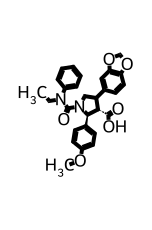 CCN(C(=O)N1CC(c2ccc3c(c2)OCO3)[C@H](C(=O)O)[C@H]1c1ccc(OC)cc1)c1ccccc1